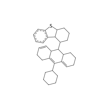 C1=CC2C(=C(C3CCCCC3)C3=CCCCC3C2C2CCCC3Sc4ccccc4C32)CC1